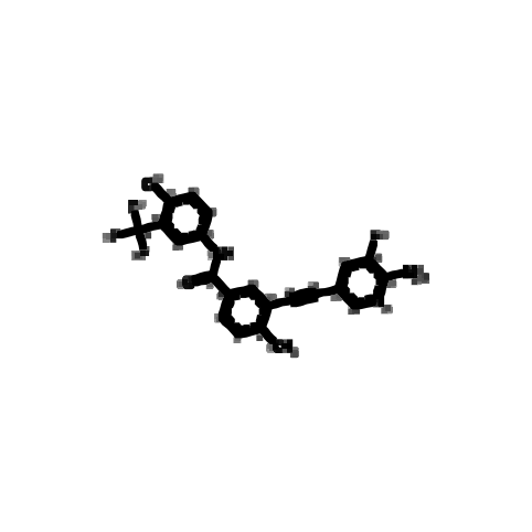 Cc1ccc(C(=O)Nc2ccc(Cl)c(C(F)(F)F)c2)cc1C#Cc1cnc(N)c(F)c1